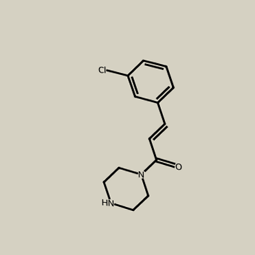 O=C(/C=C/c1cccc(Cl)c1)N1CCNCC1